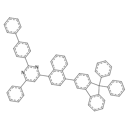 c1ccc(-c2ccc(-c3nc(-c4ccccc4)cc(-c4ccc(-c5ccc6c(c5)-c5ccccc5C6(c5ccccc5)c5ccccc5)c5ccccc45)n3)cc2)cc1